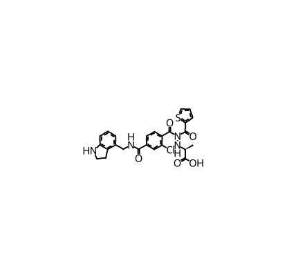 C[C@H](NN(C(=O)c1cccs1)C(=O)c1ccc(C(=O)NCc2cccc3c2CCN3)cc1Cl)C(=O)O